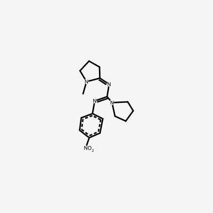 CN1CCCC1=NC(=Nc1ccc([N+](=O)[O-])cc1)N1CCCC1